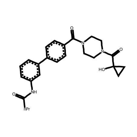 CCCC(=O)Nc1cccc(-c2ccc(C(=O)N3CCN(C(=O)C4(O)CC4)CC3)cc2)c1